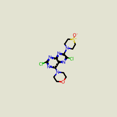 [O-][S+]1CCN(c2nc3nc(Cl)nc(N4CCOCC4)c3nc2Cl)CC1